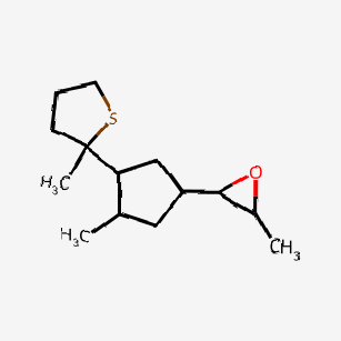 CC1CC(C2OC2C)CC1C1(C)CCCS1